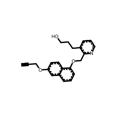 C#CCOc1ccc2c(OCc3ncccc3CCCO)cccc2c1